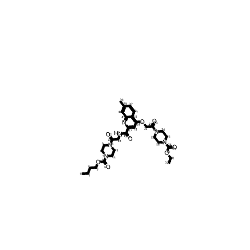 CCCCOC(=O)N1CCN(C(=O)CNC(=O)c2cc(OCC(=O)N3CCN(C(=O)OCC)CC3)c3ccc(C)cc3n2)CC1